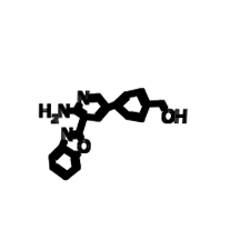 Nc1ncc(-c2ccc(CO)cc2)cc1-c1nc2ccccc2o1